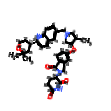 C[C@@H]1CN(Cc2ccc3nc([C@H]4CCOC(C)(C)C4)ccc3c2)C[C@H]1Oc1ccc2c(c1)CN(C1CCC(=O)NC1=O)C2=O